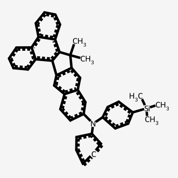 CC1(C)c2cc3cc(N(c4ccccc4)c4ccc([Si](C)(C)C)cc4)ccc3cc2-c2c1c1ccccc1c1ccccc21